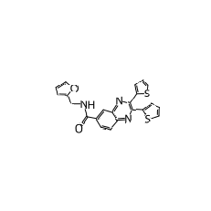 O=C(NCc1ccco1)c1ccc2nc(-c3cccs3)c(-c3cccs3)nc2c1